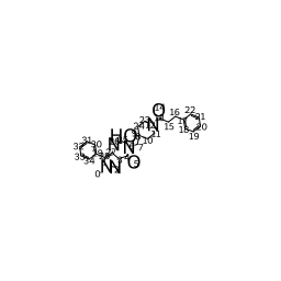 Cn1nc2c(=O)n(CC3(O)CCN(C(=O)CCc4ccccc4)CC3)cnc2c1-c1ccccc1